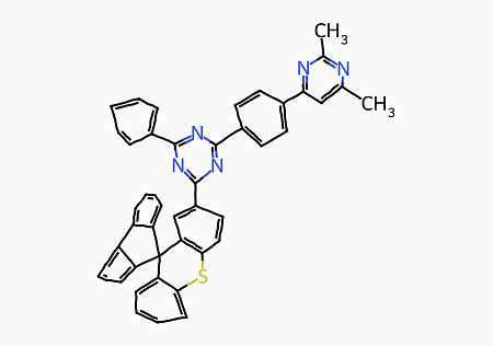 Cc1cc(-c2ccc(-c3nc(-c4ccccc4)nc(-c4ccc5c(c4)C4(c6ccccc6S5)c5ccccc5-c5ccccc54)n3)cc2)nc(C)n1